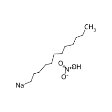 CCCCCCCCCCC[CH2][Na].O=[N+]([O-])O